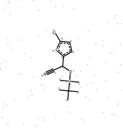 CC(C)(C)[Si](C)(C)OC(C#N)c1ccc(Cl)s1